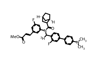 [2H]C(c1ccc(-c2ccc(N(C)C)cc2)cc1F)N(C(=O)C1C[C@H]2CC[C@@H]1C2)c1cc(F)cc(/C=C/C(=O)OC)c1